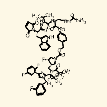 CC(C)[C@H](NC(=O)[C@H](Cc1c[nH]c2ccccc12)N1C(=O)C=CC1=O)C(=O)N[C@@H](CCCNC(N)=O)C(=O)Nc1ccc(COC(=O)N2C[C@@H](CN(C(=O)[C@H](C)O)[C@@H](c3nc(-c4cc(F)ccc4F)cn3Cc3cccc(F)c3)C(C)(C)C)[C@@H](F)C2)cc1